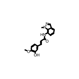 COc1ccc(/C=C/C(=O)Nc2cccc3cnn(C)c23)cc1O